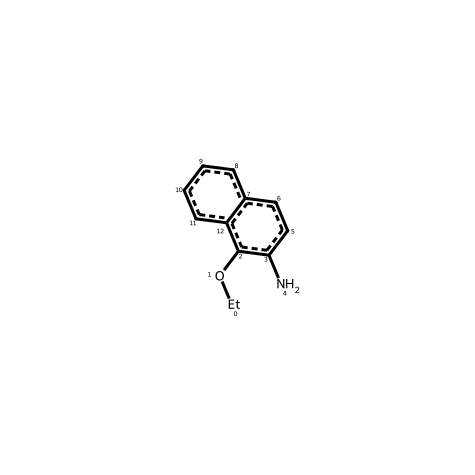 CCOc1c(N)ccc2ccccc12